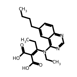 CCCCc1ccc2ncnc(N(CC)C(CC)=C(C(=O)O)C(=O)O)c2c1